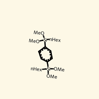 CCCCCC[Si](OC)(OC)c1ccc([Si](CCCCCC)(OC)OC)cc1